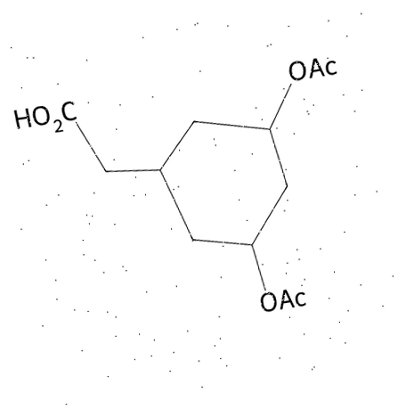 CC(=O)OC1CC(CC(=O)O)CC(OC(C)=O)C1